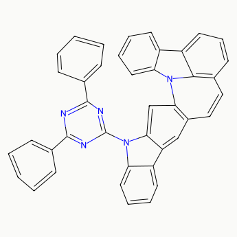 C1=Cc2cccc3c4ccccc4n(c23)-c2cc3c(cc21)c1ccccc1n3-c1nc(-c2ccccc2)nc(-c2ccccc2)n1